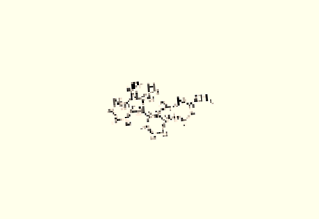 Cc1ccc2c(n1)oc1c(N3c4cccnc4N(C(C)C)C3C)cccc12